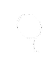 CC1C2CC/C=C\CCCCCN12